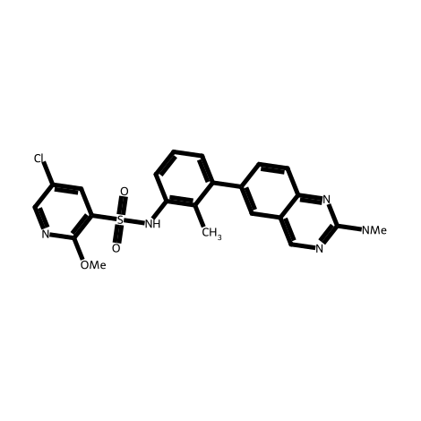 CNc1ncc2cc(-c3cccc(NS(=O)(=O)c4cc(Cl)cnc4OC)c3C)ccc2n1